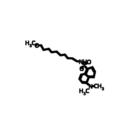 COCCCCCCCCCCNS(=O)(=O)c1cccc2c(N(C)C)cccc12